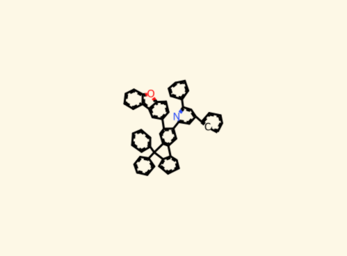 c1ccc(-c2cc(-c3ccccc3)nc(-c3cc4c(cc3-c3ccc5oc6ccccc6c5c3)C(c3ccccc3)(c3ccccc3)c3ccccc3-4)c2)cc1